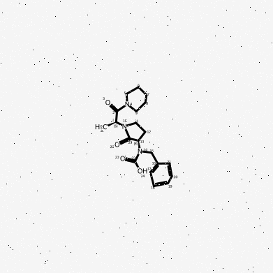 C[C@@H](C(=O)N1CCCCC1)N1CC[C@@H](N(Cc2ccccc2)C(=O)O)C1=O